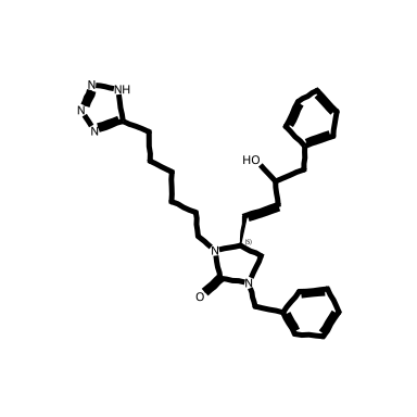 O=C1N(Cc2ccccc2)C[C@H](C=CC(O)Cc2ccccc2)N1CCCCCCc1nnn[nH]1